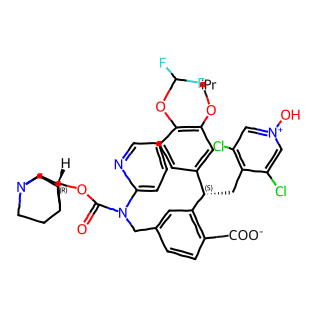 CC(C)Oc1cc([C@H](Cc2c(Cl)c[n+](O)cc2Cl)c2cc(CN(C(=O)O[C@H]3CN4CCC3CC4)c3ccccn3)ccc2C(=O)[O-])ccc1OC(F)F